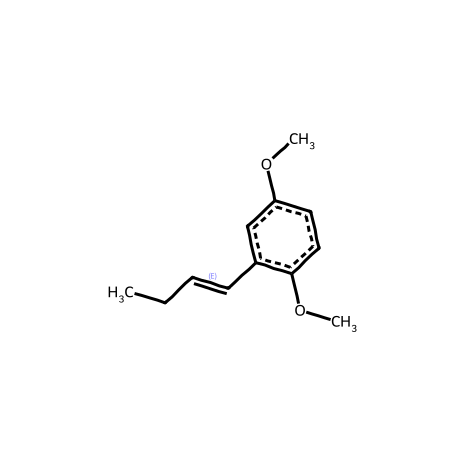 CC/C=C/c1cc(OC)ccc1OC